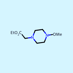 CCOC(=O)CN1CCN(OC)CC1